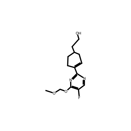 COCOc1nc(C2=CCC(CCO)CC2)ncc1F